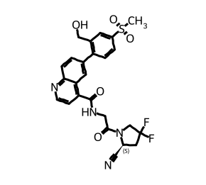 CS(=O)(=O)c1ccc(-c2ccc3nccc(C(=O)NCC(=O)N4CC(F)(F)C[C@H]4C#N)c3c2)c(CO)c1